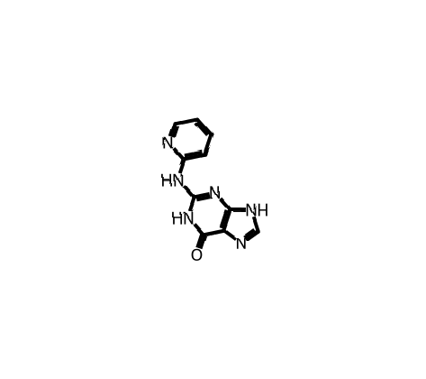 O=c1[nH]c(Nc2ccccn2)nc2[nH]cnc12